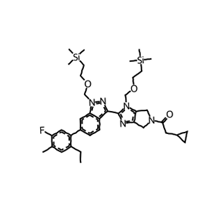 CCc1cc(C)c(F)cc1-c1ccc2c(-c3nc4c(n3COCC[Si](C)(C)C)CN(C(=O)CC3CC3)C4)nn(COCC[Si](C)(C)C)c2c1